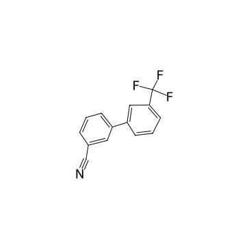 N#Cc1cccc(-c2cccc(C(F)(F)F)c2)c1